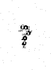 CCCN1CCOc2ccc(Nc3nc(Nc4ccc(N5CC6CC5CN6C(C)=O)c(C)c4)ncc3F)nc21